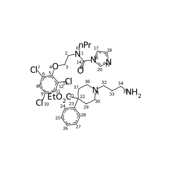 CCCN(CCOc1c(Cl)cc(Cl)cc1Cl)C(=O)n1ccnc1.CCOC(=O)C1(c2ccccc2)CCN(CCCN)CC1